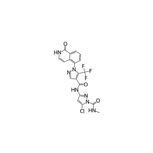 CNC(=O)n1nc(NC(=O)c2cnn(-c3cccc4c(=O)[nH]ccc34)c2C(F)(F)F)cc1Cl